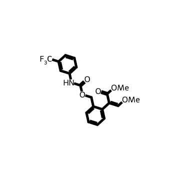 COC=C(C(=O)OC)c1ccccc1COC(=O)Nc1cccc(C(F)(F)F)c1